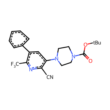 CC(C)(C)OC(=O)N1CCN(c2cc(-c3ccccc3)c(C(F)(F)F)nc2C#N)CC1